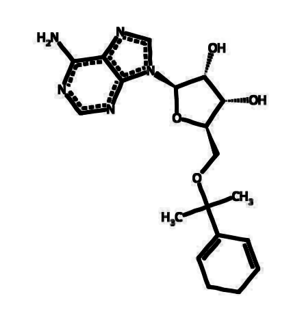 CC(C)(OC[C@H]1O[C@@H](n2cnc3c(N)ncnc32)[C@H](O)[C@@H]1O)C1=CCCC=C1